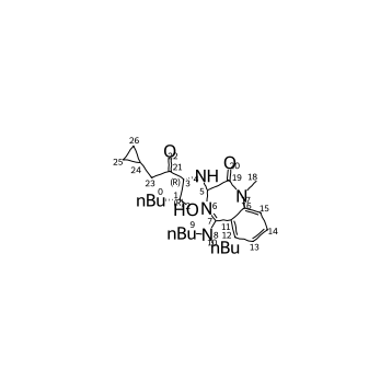 CCCC[C@@H](O)[C@@H](NC1N=C(N(CCCC)CCCC)c2ccccc2N(C)C1=O)C(=O)CC1CC1